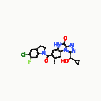 Cc1cc2c(cc1C(=O)N1CCc3cc(Cl)c(F)cc31)[nH]c(=O)c1nnc(C(O)C3CC3)n12